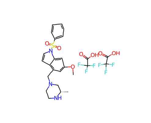 COc1cc(CN2CCN[C@@H](C)C2)c2ccn(S(=O)(=O)c3ccccc3)c2c1.O=C(O)C(F)(F)F.O=C(O)C(F)(F)F